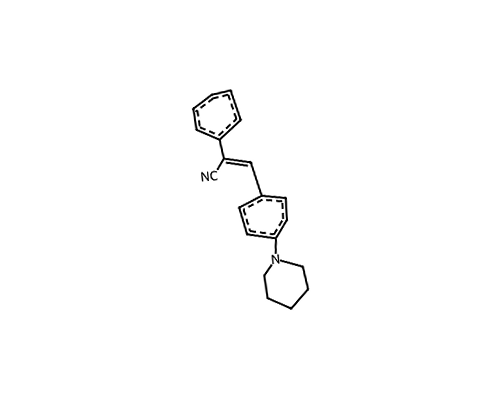 N#C/C(=C\c1ccc(N2CCCCC2)cc1)c1ccccc1